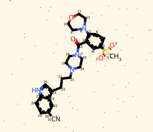 CS(=O)(=O)c1ccc(N2CCOCC2)c(C(=O)N2CCN(CCCc3c[nH]c4ccc(C#N)cc34)CC2)c1